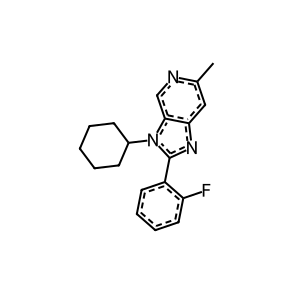 Cc1cc2nc(-c3ccccc3F)n(C3CCCCC3)c2cn1